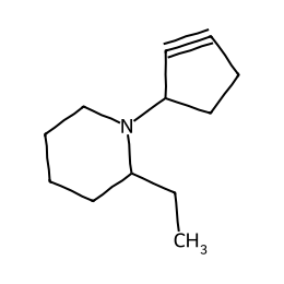 CCC1CCCCN1C1C#CCC1